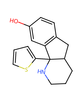 Oc1ccc2c(c1)C1(c3cccs3)NCCCC1C2